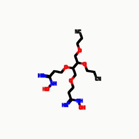 N#CCCOCC(OCCC#N)C(COCCC(=N)NO)OCCC(=N)NO